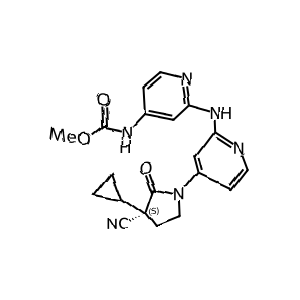 COC(=O)Nc1ccnc(Nc2cc(N3CC[C@@](C#N)(C4CC4)C3=O)ccn2)c1